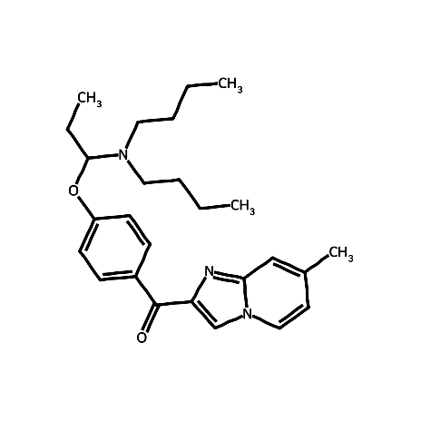 CCCCN(CCCC)C(CC)Oc1ccc(C(=O)c2cn3ccc(C)cc3n2)cc1